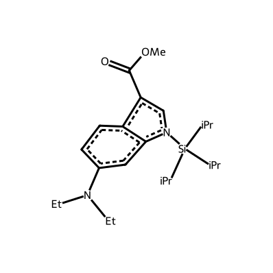 CCN(CC)c1ccc2c(C(=O)OC)cn([Si](C(C)C)(C(C)C)C(C)C)c2c1